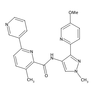 COc1ccc(-c2nn(C)cc2NC(=O)c2nc(-c3cccnc3)ccc2C)nc1